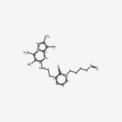 CCc1c(C)nn2c(N)c(C#N)c(NCCc3cccn(CCCC[S+]=O)c3=O)nc12